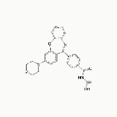 O=C(NNO)c1ccc(C2=Nc3ccccc3Oc3cc(N4CCOCC4)ccc32)cc1